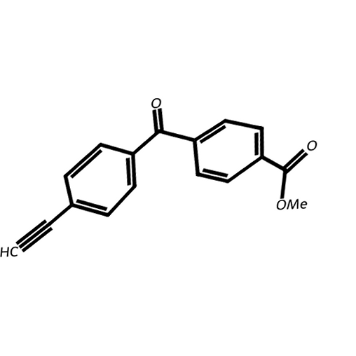 C#Cc1ccc(C(=O)c2ccc(C(=O)OC)cc2)cc1